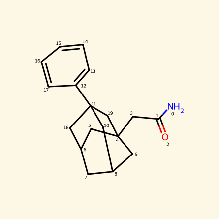 NC(=O)CC12CC3CC(C1)CC(c1ccccc1)(C3)C2